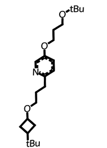 CC(C)(C)OCCCOc1ccc(CCCOC2CC(C(C)(C)C)C2)nc1